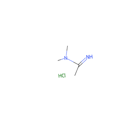 CC(=N)N(C)C.Cl